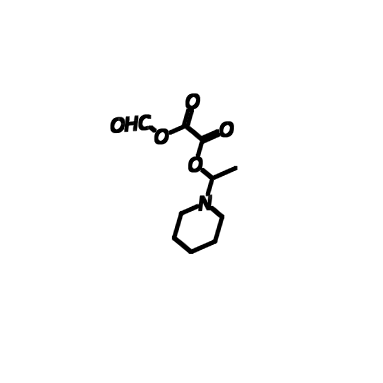 CC(OC(=O)C(=O)OC=O)N1CCCCC1